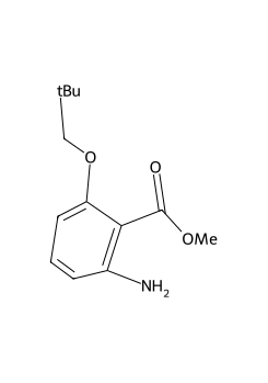 COC(=O)c1c(N)cccc1OCC(C)(C)C